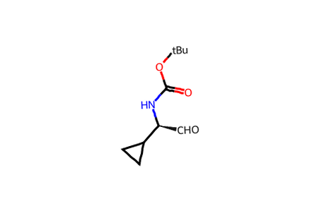 CC(C)(C)OC(=O)N[C@@H](C=O)C1CC1